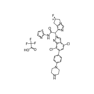 O=C(Nc1nccs1)C(c1ncn2c1C[C@@H](F)C2)n1cc2c(Cl)cc(-c3ccc(N4CCNCC4)cc3)c(Cl)c2n1.O=C(O)C(F)(F)F